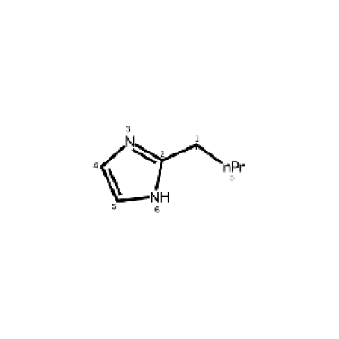 CCC[CH]c1ncc[nH]1